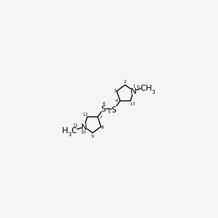 CN1CCC(SSC2CCN(C)C2)C1